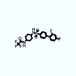 O=C(NC1CCC(NS(=O)(=O)c2ccc(-c3ccc(F)cc3F)cc2)CC1)C(F)(F)F